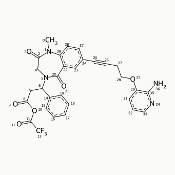 CN1C(=O)CN(C(CC(=O)OC(=O)C(F)(F)F)c2ccccc2)C(=O)c2cc(C#CCCOc3cccnc3N)ccc21